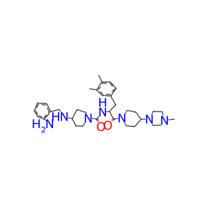 Cc1ccc(CC(NC(=O)N2CCC(NCc3ccccc3N)CC2)C(=O)N2CCC(N3CCN(C)CC3)CC2)cc1C